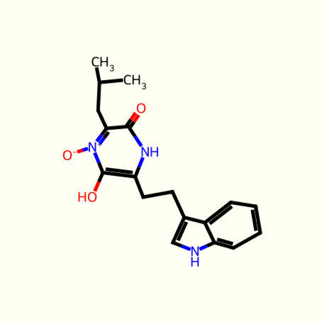 CC(C)Cc1c(=O)[nH]c(CCc2c[nH]c3ccccc23)c(O)[n+]1[O-]